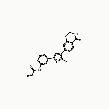 C=CC(=O)Nc1cccc(-c2cc(-c3ccc4c(c3)CCNC4=O)n(C)n2)c1